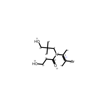 C/C(Br)=C(/C)N(CC(C)(C)CO)C(=O)CCO